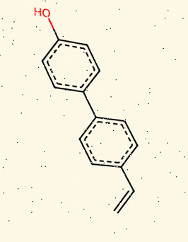 C=Cc1ccc(-c2ccc(O)cc2)cc1